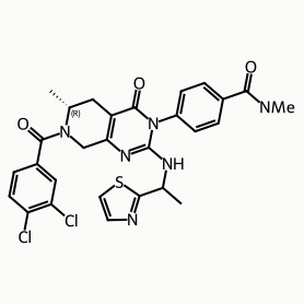 CNC(=O)c1ccc(-n2c(NC(C)c3nccs3)nc3c(c2=O)C[C@@H](C)N(C(=O)c2ccc(Cl)c(Cl)c2)C3)cc1